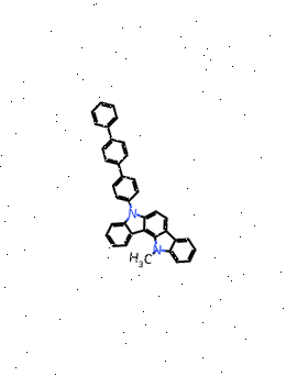 Cn1c2ccccc2c2ccc3c(c4ccccc4n3-c3ccc(-c4ccc(-c5ccccc5)cc4)cc3)c21